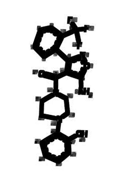 Nc1onc(-c2ccccc2C(F)(F)F)c1C(=O)N1CCN(c2ccccc2O)CC1